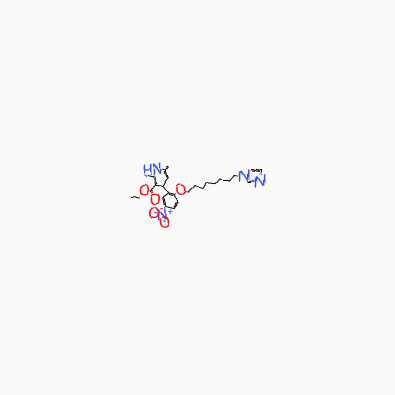 CCOC(=O)C1=C(C)NC(C)=CC1c1cc([N+](=O)[O-])ccc1OCCCCCCCCn1ccnc1